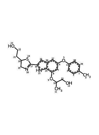 Cc1ccc(Oc2cc(OC(C)CO)c3[nH]c(C4=NCC(CCO)S4)cc3c2)cc1